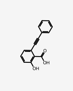 O=C(O)c1c(O)cccc1C#Cc1ccccc1